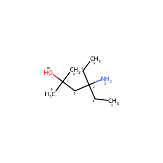 CCC(N)(CC)CC(C)(C)O